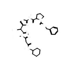 Cn1c(CC(=O)NC2CCCCC2)nnc1C(S)c1csc(NC(=O)C2CCCN2C(=O)OCc2ccccc2)n1